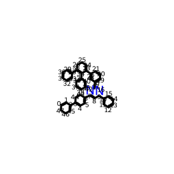 C1=CC(C2=CC=C(c3cc(-c4ccccc4)nc(-c4cccc(C5=CCCC(c6ccccc6)=C5c5ccccc5)c4)n3)CC2)=CCC1